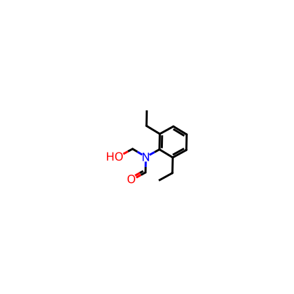 CCc1cccc(CC)c1N(C=O)CO